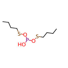 CCCCSOP(O)OSCCCC